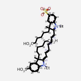 CCN1/C(=C/C=C/C=C/C=C/C2=[N+](CC)c3ccc(S(=O)(=O)[O-])cc3C2(C)CCCCCC(=O)O)C(C)(CCCCCC(=O)O)c2cc(S(=O)(=O)O)ccc21